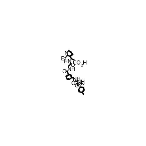 CCc1ncccc1C(CC(=O)O)NC(=O)CNC(=O)c1cccc(NC(=O)NS(=O)(=O)c2ccc(C)cc2)c1